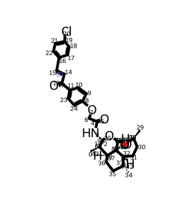 C[C@H]1[C@H](NC(=O)COc2ccc(C(=O)/C=C/c3ccc(Cl)cc3)cc2)O[C@@H]2O[C@@]3(C)CC[C@H]4[C@H](C)CC[C@@H]1[C@@]24OO3